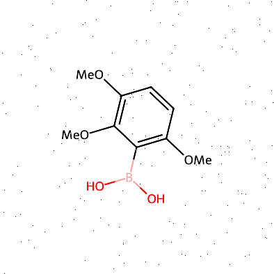 COc1ccc(OC)c(B(O)O)c1OC